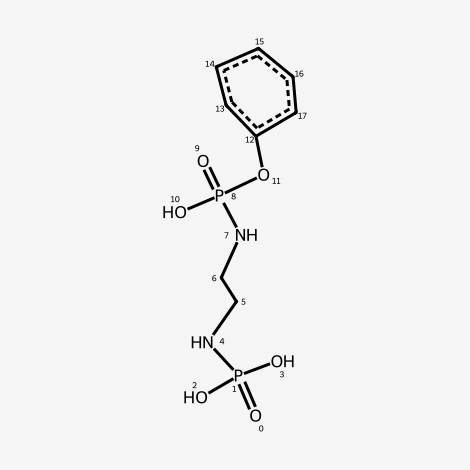 O=P(O)(O)NCCNP(=O)(O)Oc1ccccc1